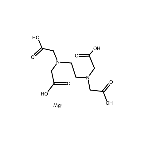 O=C(O)CN(CCN(CC(=O)O)CC(=O)O)CC(=O)O.[Mg]